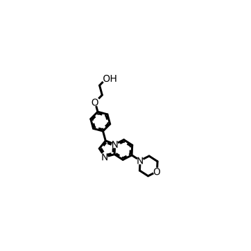 OCCOc1ccc(-c2cnc3cc(N4CCOCC4)ccn23)cc1